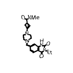 CCn1c(=O)[nH]c2cc(CN3CCN(C45CC(C(=O)NC)(C4)C5)CC3)ccc2c1=O